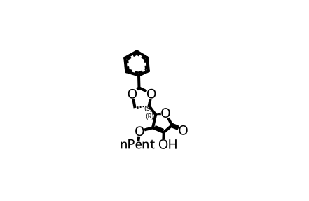 CCCCCOC1=C(O)C(=O)O[C@@H]1[C@@H]1COC(c2ccccc2)O1